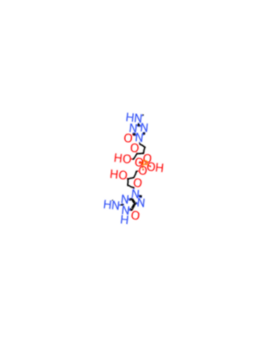 CNc1ncn([C@H]2C[C@@H](OP(=O)(O)OCC3O[C@@H](n4cnc5c(=O)[nH]c(NC)nc54)C[C@H]3O)C(CO)O2)c(=O)n1